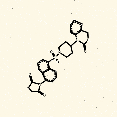 O=C1[CH]CC(=O)N1c1cccc2c(S(=O)(=O)N3CCC(N4C(=O)OCc5ccccc54)CC3)cccc12